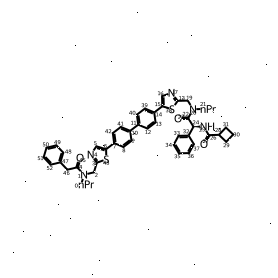 CCCN(Cc1ncc(-c2ccc(-c3ccc(-c4cnc(CN(CCC)C(=O)[C@@H](NC(=O)C5CCC5)c5ccccc5)s4)cc3)cc2)s1)C(=O)Cc1ccccc1